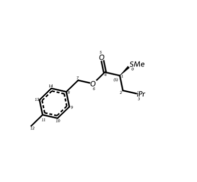 CS[C@@H](CC(C)C)C(=O)OCc1ccc(C)cc1